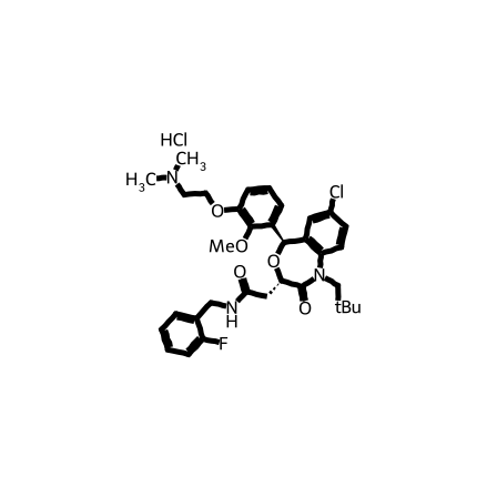 COc1c(OCCN(C)C)cccc1[C@@H]1O[C@@H](CC(=O)NCc2ccccc2F)C(=O)N(CC(C)(C)C)c2ccc(Cl)cc21.Cl